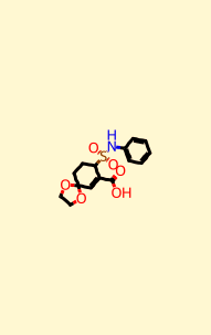 O=C(O)C1=CC2(CCC1S(=O)(=O)Nc1ccccc1)OCCO2